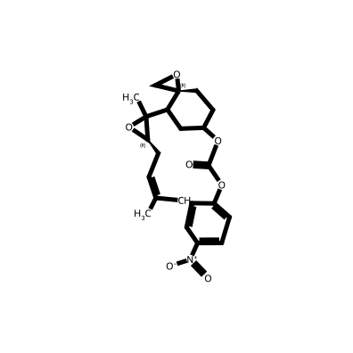 CC(C)=CC[C@H]1OC1(C)C1CC(OC(=O)Oc2ccc([N+](=O)[O-])cc2)CC[C@]12CO2